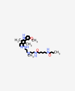 CCCC(=O)NCCCCCC(=O)NCCCN(C)CCCNc1nccc2c(C)c3[nH]c4ccc(OC)cc4c3c(C)c12